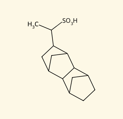 CC(C1CC2CC1C1C3CCC(C3)C21)S(=O)(=O)O